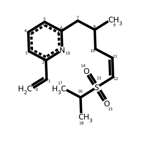 C=Cc1cccc(CC(C)C/C=C\S(=O)(=O)C(C)C)n1